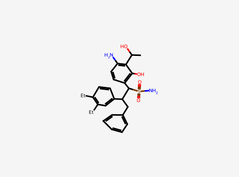 CCc1ccc(C(Cc2ccccc2)C(c2ccc(N)c(C(C)O)c2O)S(N)(=O)=O)cc1CC